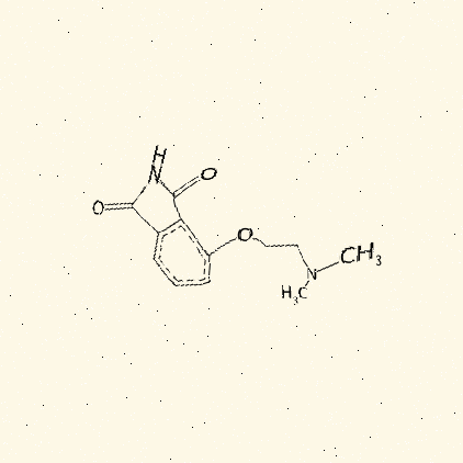 CN(C)CCOc1cccc2c1C(=O)NC2=O